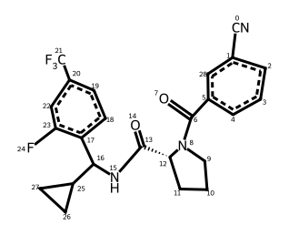 N#Cc1cccc(C(=O)N2CCC[C@@H]2C(=O)NC(c2ccc(C(F)(F)F)cc2F)C2CC2)c1